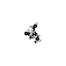 CNC(=O)[C@H](Cc1c[nH]c2ccccc12)NC(=O)C1CN(C(=O)Cc2c[nH]c3cc(Cl)ccc23)CC2CN(C(=O)c3ccc(OC(C)C)c(OC)c3)CC21